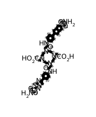 NS(=O)(=O)c1nn2cc(-c3ccc(NC(=O)CN4CCN(CC(=O)O)CCN(CC(=O)Nc5ccc(C6CC7CC(S(N)(=O)=O)CC7C6)cc5)CCN(CC(=O)O)CC4)cc3)nc2s1